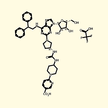 O=C(NC1CCN(c2ccc(C(=O)O)cn2)CC1)N[C@@H]1CCN(c2nc(NCC(c3ccccc3)c3ccccc3)c3ncn([C@@H]4O[C@H](CO)[C@@H](O)[C@H]4O)c3n2)C1.O=C(O)C(F)(F)F